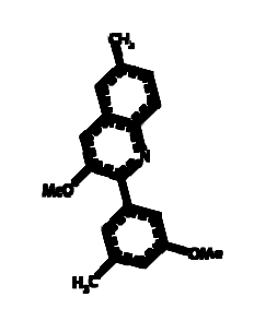 COc1cc(C)cc(-c2nc3ccc(C)cc3cc2OC)c1